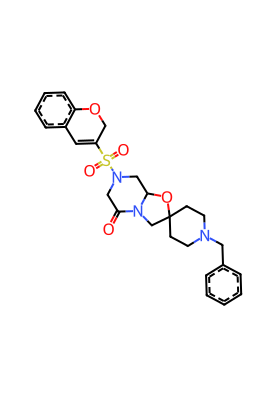 O=C1CN(S(=O)(=O)C2=Cc3ccccc3OC2)CC2OC3(CCN(Cc4ccccc4)CC3)CN12